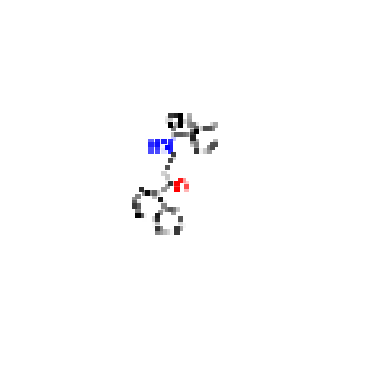 CC(NCCC(=O)c1cccc2ccccc12)c1ccccc1